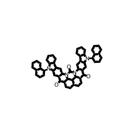 O=c1c2cc3c(cc2n2c(=O)n4c5cc6c7ccccc7n(-c7cccc8ccccc78)c6cc5c(=O)c5ccc6ccc1c2c6c54)c1ccccc1n3-c1cccc2ccccc12